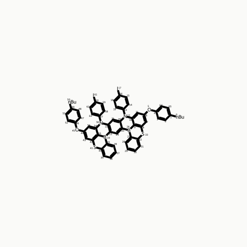 CCCCc1ccc(Oc2cc3c4c(c2)N(c2ccc(I)cc2)c2cc5c(cc2B4c2ccccc2S3)B2c3ccccc3Sc3cc(Oc4ccc(CCCC)cc4)cc(c32)N5c2ccc(I)cc2)cc1